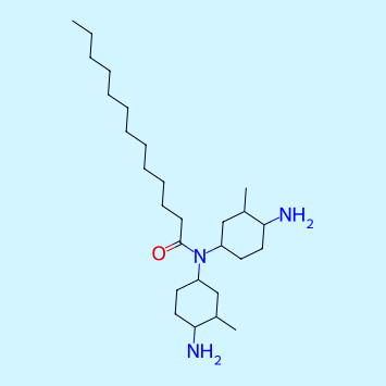 CCCCCCCCCCCCC(=O)N(C1CCC(N)C(C)C1)C1CCC(N)C(C)C1